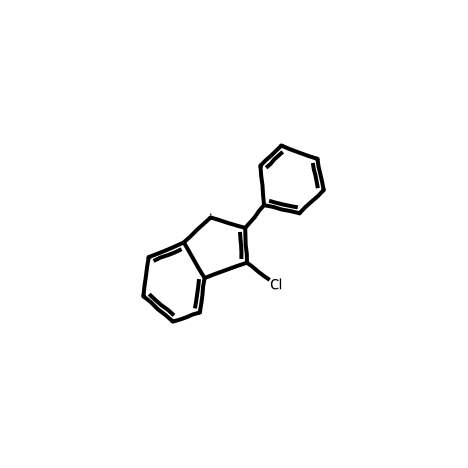 ClC1=C(c2ccccc2)[CH]c2ccccc21